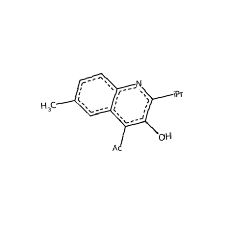 CC(=O)c1c(O)c(C(C)C)nc2ccc(C)cc12